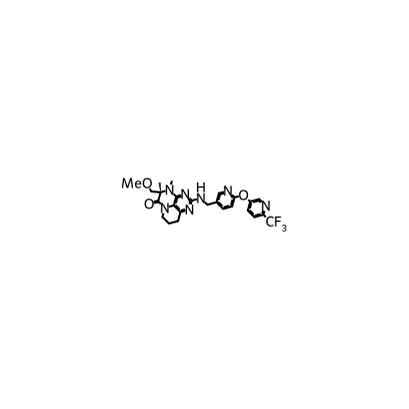 COC[C@@]1(C)C(=O)N2CCCc3nc(NCc4ccc(Oc5ccc(C(F)(F)F)nc5)nc4)nc(c32)N1C